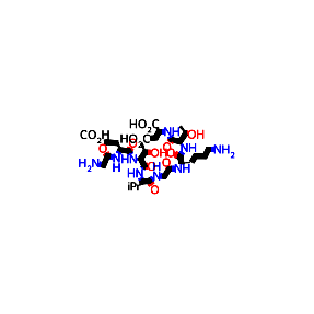 CC(C)[C@H](NC(=O)[C@@H](NC(=O)[C@H](CCC(=O)O)NC(=O)CN)[C@@H](C)O)C(=O)NCC(=O)N[C@@H](CCCCN)C(=O)N[C@H](C(=O)N[C@@H](CC(=O)O)C(=O)O)[C@@H](C)O